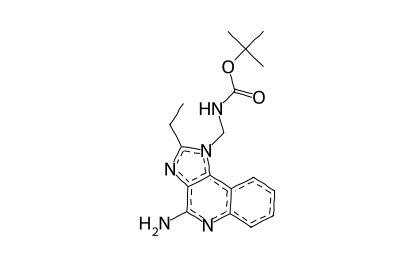 CCc1nc2c(N)nc3ccccc3c2n1CNC(=O)OC(C)(C)C